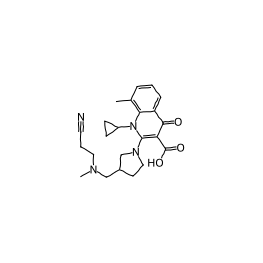 Cc1cccc2c(=O)c(C(=O)O)c(N3CCC(CN(C)CCC#N)C3)n(C3CC3)c12